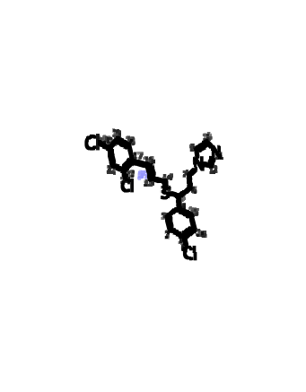 Clc1ccc(C(CCn2ccnc2)SC/C=C/c2ccc(Cl)cc2Cl)cc1